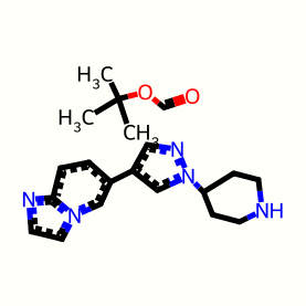 CC(C)(C)OC=O.c1cn2cc(-c3cnn(C4CCNCC4)c3)ccc2n1